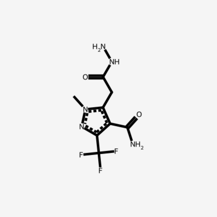 Cn1nc(C(F)(F)F)c(C(N)=O)c1CC(=O)NN